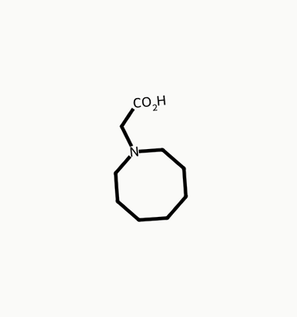 O=C(O)CN1CCCCCCC1